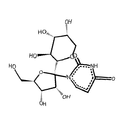 O=c1ccn([C@]2(C3OC[C@@H](O)[C@@H](O)[C@@H]3O)O[C@H](CO)[C@@H](O)[C@H]2O)c(=O)[nH]1